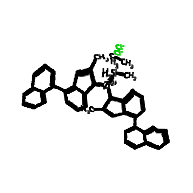 CC.C[SiH2][Zr+2]([CH]1C(C)=Cc2c(-c3cccc4ccccc34)cccc21)[CH]1C(C)=Cc2c(-c3cccc4ccccc34)cccc21.[Cl-].[Cl-]